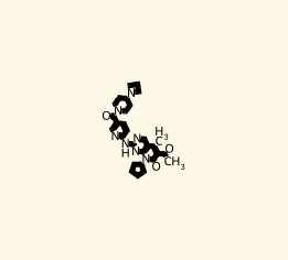 CC(=O)c1c(C)c2cnc(Nc3ccc(C(=O)N4CCC(N5CCC5)CC4)cn3)nc2n(C2CCCC2)c1=O